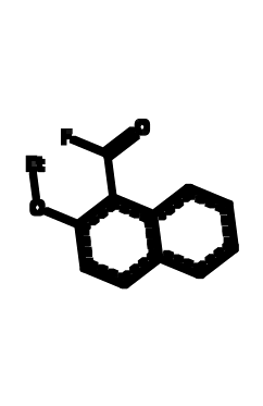 CCOc1ccc2ccccc2c1C(=O)F